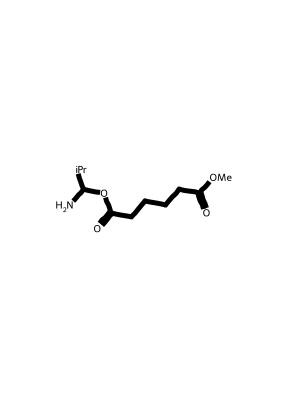 COC(=O)CCCCC(=O)OC(N)C(C)C